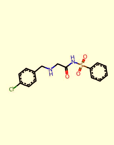 O=C(CNCc1ccc(Cl)cc1)NS(=O)(=O)c1ccccc1